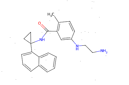 Cc1ccc(NCCN)cc1C(=O)NC1(c2cccc3ccccc23)CC1